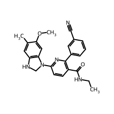 CCNC(=O)c1ccc(N2CNc3cc(C)c(OC)cc32)nc1-c1cccc(C#N)c1